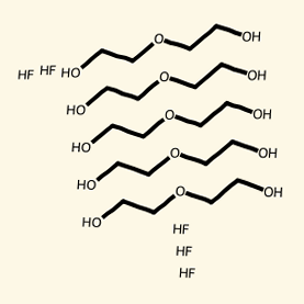 F.F.F.F.F.OCCOCCO.OCCOCCO.OCCOCCO.OCCOCCO.OCCOCCO